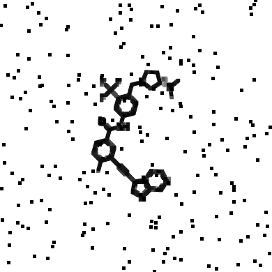 Cc1ccc(C(=O)Nc2ccc(CN3CC[C@H](N(C)C)C3)c(C(F)(F)F)c2)cc1C#Cc1cnc2cnccn12